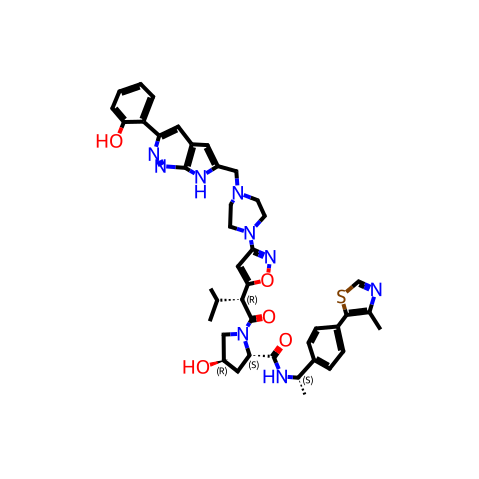 Cc1ncsc1-c1ccc([C@H](C)NC(=O)[C@@H]2C[C@@H](O)CN2C(=O)[C@@H](c2cc(N3CCN(Cc4cc5cc(-c6ccccc6O)nnc5[nH]4)CC3)no2)C(C)C)cc1